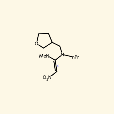 CCCN(CC1CCOC1)/C(=C/[N+](=O)[O-])NC